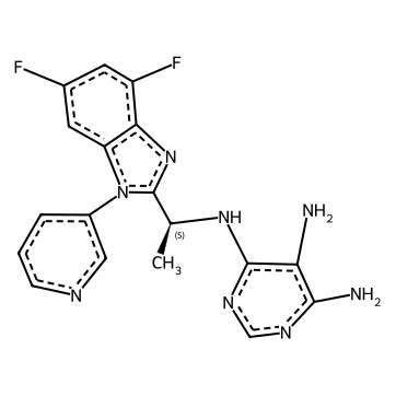 C[C@H](Nc1ncnc(N)c1N)c1nc2c(F)cc(F)cc2n1-c1cccnc1